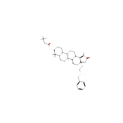 CC(C)C1=C2[C@H]3CC[C@@H]4[C@@]5(C)CC[C@H](OC(=O)CC(C)(C)C(=O)O)C(C)(C)C5CC[C@@]4(C)[C@]3(C)CC[C@@]2(CCNCc2ccccc2Cl)CC1=O